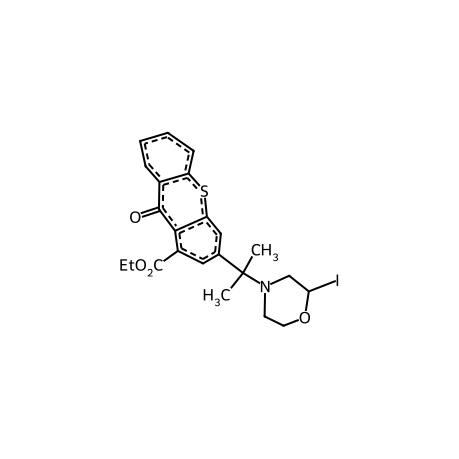 CCOC(=O)c1cc(C(C)(C)N2CCOC(I)C2)cc2sc3ccccc3c(=O)c12